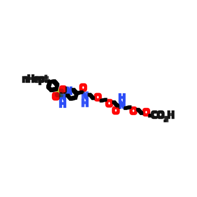 CCCCCCCc1ccc(S(=O)(=O)Nc2ccc(C(=O)NCCOCCOCC(=O)NCCOCCOCC(=O)O)cn2)cc1